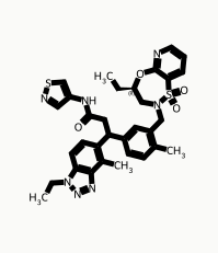 CC[C@@H]1CN(Cc2cc(C(CC(=O)Nc3cnsc3)c3ccc4c(nnn4CC)c3C)ccc2C)S(=O)(=O)c2cccnc2O1